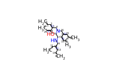 C=C/C=C(CN(CCNC/C(C=C)=C/C=C)CC(/C=C\C)=C/CC)\C(O)=C/C